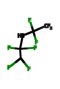 FC(F)C(F)(F)BC(F)(F)C(F)(F)F